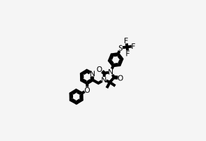 CC1(C)C(=O)N(c2ccc(SC(F)(F)F)cc2)C(=O)N1Cc1ncccc1Oc1ccccc1